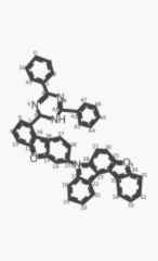 c1ccc(C2=NC(c3cccc4oc5cc(-n6c7ccccc7c7c8c(ccc76)oc6ccccc68)ccc5c34)NC(c3ccccc3)=N2)cc1